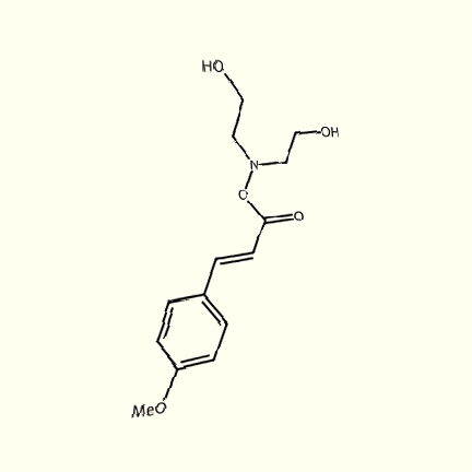 COc1ccc(/C=C/C(=O)ON(CCO)CCO)cc1